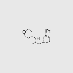 CC(Cc1cccc(C(C)C)c1)NC1CCOCC1